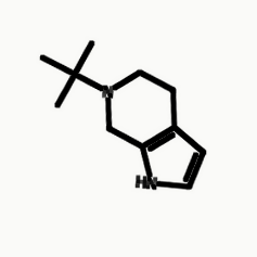 CC(C)(C)N1CCc2cc[nH]c2C1